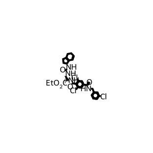 CCOC(=O)[C@H](CNC(=O)NC1CCC2=C1C=CCC2)NC(=O)c1c(Cl)cc(C(=O)NCc2cccc(Cl)c2)cc1Cl